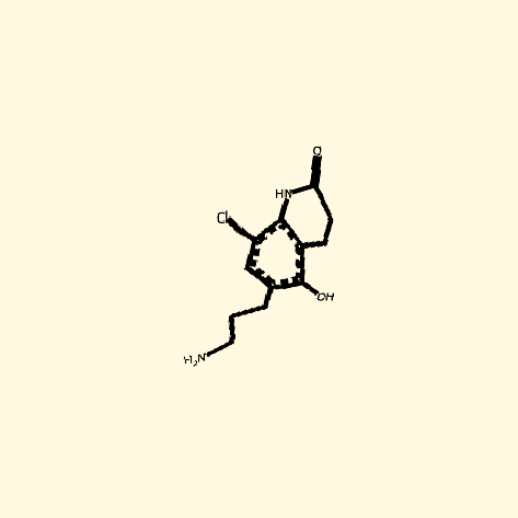 NCCCc1cc(Cl)c2c(c1O)CCC(=O)N2